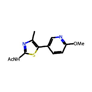 COc1ccc(-c2sc(NC(C)=O)nc2C)cn1